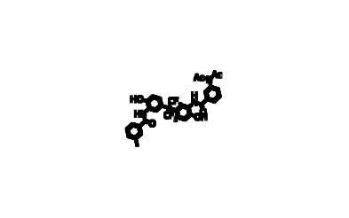 CC(=O)N(C(C)=O)c1cccc(C(=O)Nc2cc(C(c3ccc(O)c(NC(=O)c4cccc(C)c4)c3)(C(F)(F)F)C(F)(F)F)ccc2O)c1